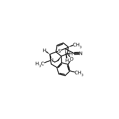 Cc1ccc2c3c1O[C@H]1[C@@]4(C)C=C[C@@]5(S[C@H]4C#N)[C@@H](C2)N(C)CC[C@]315